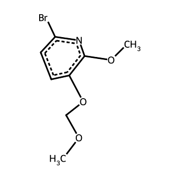 COCOc1ccc(Br)nc1OC